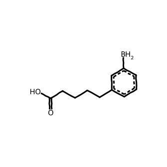 Bc1cccc(CCCCC(=O)O)c1